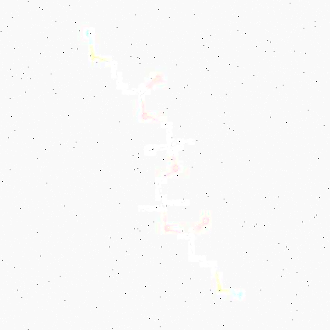 CC(C)(COC(=O)CCSF)OCC(C)(C)OC(=O)CCSF